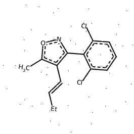 CC/C=C/c1c(-c2c(Cl)cccc2Cl)noc1C